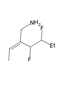 C/C=C(/CN)C(F)C(F)CC